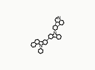 c1ccc(-n2c3ccc(-c4ccc5c(c4)c4ccccc4n5-c4ccc5c(c4)-c4cccc6nccc-5c46)cc3c3ccc4ccccc4c32)cc1